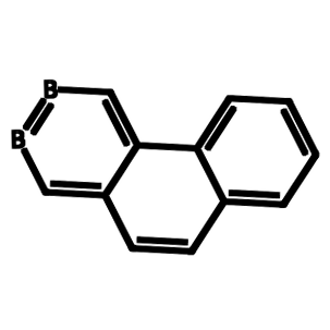 b1bcc2c(c1)ccc1ccccc12